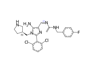 C=C(/N=C\c1nc(-c2c(Cl)cccc2Cl)n(C[C@H]2CCNC2)c1N)NCc1ccc(F)cc1